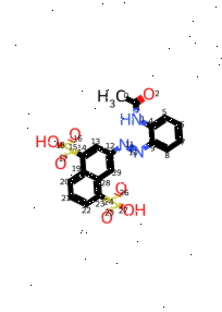 CC(=O)Nc1c[c]ccc1N=Nc1cc(S(=O)(=O)O)c2cccc(S(=O)(=O)O)c2c1